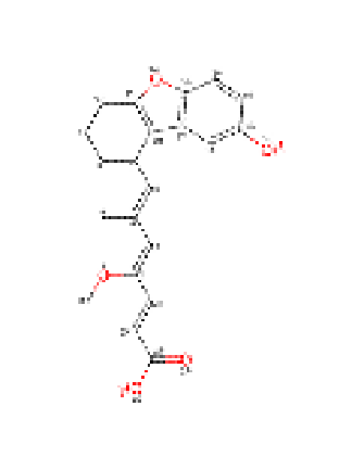 COC(=C\C(C)=C\C1CCCc2oc3ccc(O)cc3c21)/C=C/C(=O)O